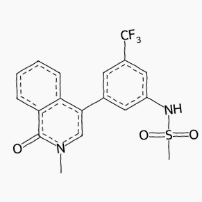 Cn1cc(-c2cc(NS(C)(=O)=O)cc(C(F)(F)F)c2)c2ccccc2c1=O